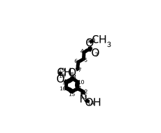 COC(=O)CCCCOc1cc(C=NO)ccc1OC